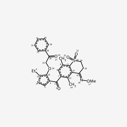 CCn1ncc(C(=O)c2cc(C)c3c(c2C)C(=NOC)CCS3(=O)=O)c1OCC(=O)c1ccccc1